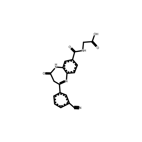 N#Cc1cccc(C2=Nc3ccc(C(=O)NCC(=O)O)cc3NC(=O)C2)c1